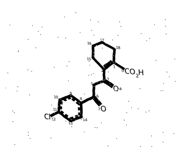 O=C(O)C1=C(C(=O)CC(=O)c2ccc(Cl)cc2)CCCC1